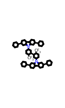 FC(F)(F)c1ccc(-n2c3cc(-c4ccccc4)ccc3c3ccc(-c4ccccc4)cc32)cc1-c1cc(-n2c3cc(-c4ccccc4)ccc3c3ccc(-c4ccccc4)cc32)ccc1C(F)(F)F